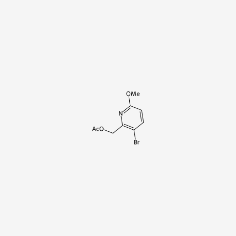 COc1ccc(Br)c(COC(C)=O)n1